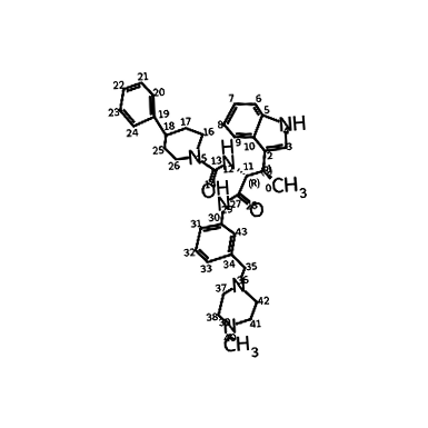 C[C@H](c1c[nH]c2ccccc12)[C@@H](NC(=O)N1CCC(c2ccccc2)CC1)C(=O)Nc1cccc(CN2CCN(C)CC2)c1